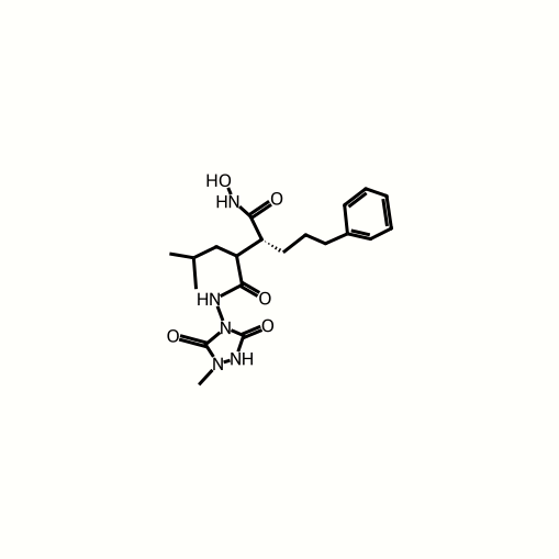 CC(C)CC(C(=O)Nn1c(=O)[nH]n(C)c1=O)[C@@H](CCCc1ccccc1)C(=O)NO